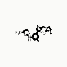 Cc1cc(Nc2nccc(C(F)(F)F)n2)cc(-c2cnc(CN3CCN(C)C3=O)s2)c1